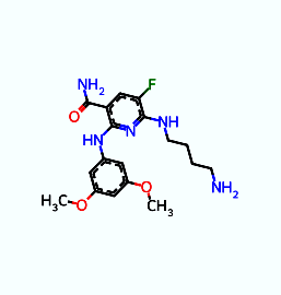 COc1cc(Nc2nc(NCCCCN)c(F)cc2C(N)=O)cc(OC)c1